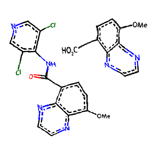 COc1ccc(C(=O)Nc2c(Cl)cncc2Cl)c2nccnc12.COc1ccc(C(=O)O)c2nccnc12